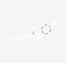 O=C(CCCCBr)Nc1ccc(Br)cc1